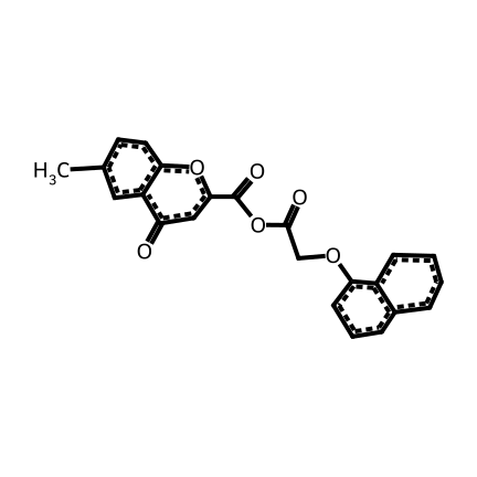 Cc1ccc2oc(C(=O)OC(=O)COc3cccc4ccccc34)cc(=O)c2c1